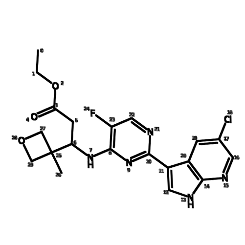 CCOC(=O)CC(Nc1nc(-c2c[nH]c3ncc(Cl)cc23)ncc1F)C1(C)COC1